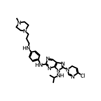 CC(C)Nn1c(N2C=NC(Cl)=CC2)nc2cnc(Nc3ccc(NCCCN4CCN(C)CC4)cc3)nc21